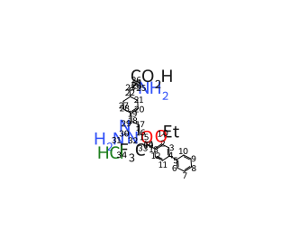 CCOc1cc(-c2ccccc2)ccc1[C@@H](Oc1cc(C2=CCC(C[C@H](N)C(=O)O)CC2)nc(N)n1)C(F)(F)F.Cl